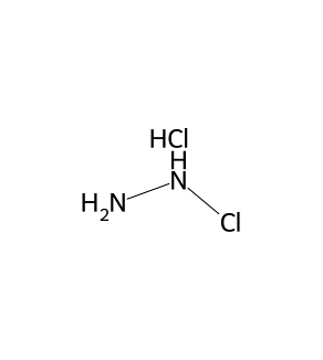 Cl.NNCl